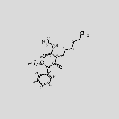 CCCCCC[C@H](C(=O)OC)C(=O)N(OC)c1ccccc1